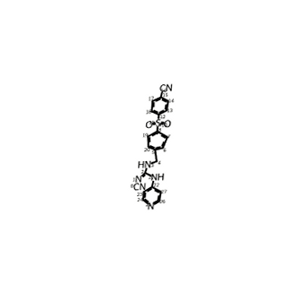 N#CN=C(NCc1ccc(S(=O)(=O)c2ccc(C#N)cc2)cc1)Nc1ccncc1